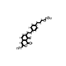 CCCCOCCCc1ccc(CCc2ccc3cc(CCC)oc(=O)c3c2F)cc1